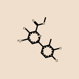 COC(=O)c1nc(-c2ccc(Cl)c(Cl)c2C)cc(N)c1Cl